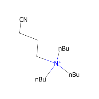 CCCC[N+](CCCC)(CCCC)CCCC#N